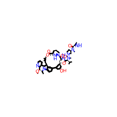 CCn1c(-c2cccnc2[C@H](C)OC)c2c3cc(ccc31)-c1cc(O)cc(c1)C[C@H](NC(=O)[C@H](C(C)C)N(C)C(=O)N1CC[C@H](N(C)C(=O)[C@H]3CN3)C1)C(=O)N1CCC[C@H](N1)C(=O)OCC(C)(C)C2